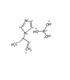 C=CC(C)n1ccnc1.OB(O)O